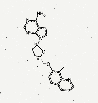 Cc1c(OC[C@@H]2CC[C@H](n3ccc4c(N)ncnc43)O2)ccc2cccnc12